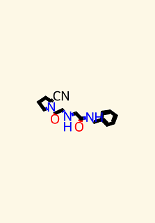 N#CC1CCCN1C(=O)CNCC(=O)NCc1ccccc1